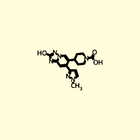 Cn1ccc(-c2cc3nc(O)nn3cc2C2CCN(C(=O)O)CC2)n1